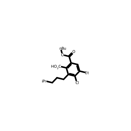 CCCCOC(=O)c1cc(CC)c(Cl)c(CCCC(C)C)c1C(=O)O